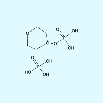 C1COCCO1.O=P(O)(O)O.O=P(O)(O)O